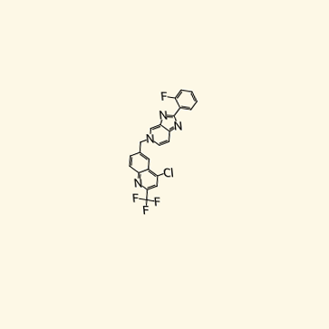 Fc1ccccc1-c1nc2ccn(Cc3ccc4nc(C(F)(F)F)cc(Cl)c4c3)cc-2n1